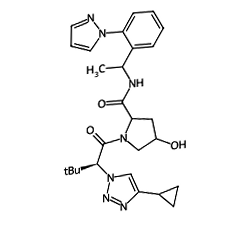 CC(NC(=O)C1CC(O)CN1C(=O)[C@@H](n1cc(C2CC2)nn1)C(C)(C)C)c1ccccc1-n1cccn1